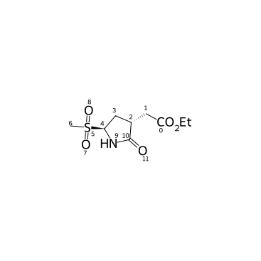 CCOC(=O)C[C@H]1C[C@H](S(C)(=O)=O)NC1=O